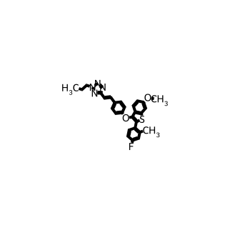 CCCn1nnc(C=Cc2ccc(Oc3c(-c4ccc(F)cc4C)sc4cc(OC)ccc34)cc2)n1